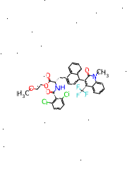 COCCOC(=O)[C@H](Cc1ccc(-c2c(C(F)(F)F)c3ccccc3n(C)c2=O)c2ccccc12)NC(=O)c1c(Cl)cccc1Cl